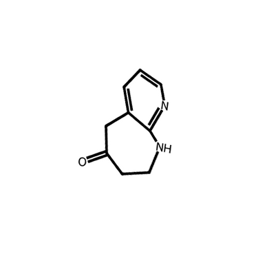 O=C1CCNc2ncccc2C1